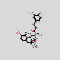 COc1c(O)ccc2c1[C@]13CCN(C)[C@H](C2)[C@]1(O)CCC(N(C)C(=O)CCc1ccc(C)c(C)c1)C3